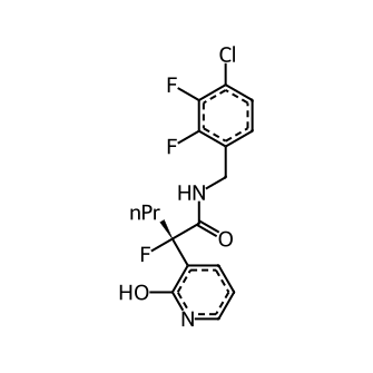 CCC[C@@](F)(C(=O)NCc1ccc(Cl)c(F)c1F)c1cccnc1O